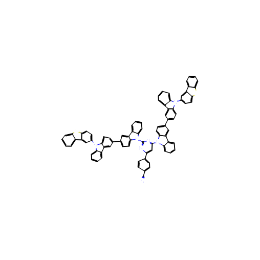 N#Cc1ccc(-c2cc(-n3c4ccccc4c4cc(-c5ccc6c(c5)c5ccccc5n6-c5ccc6sc7ccccc7c6c5)ccc43)nc(-n3c4ccccc4c4cc(-c5ccc6c(c5)c5ccccc5n6-c5ccc6sc7ccccc7c6c5)ccc43)n2)cc1